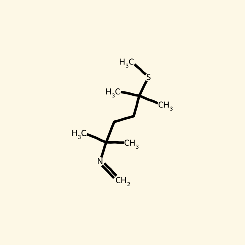 C=NC(C)(C)CCC(C)(C)SC